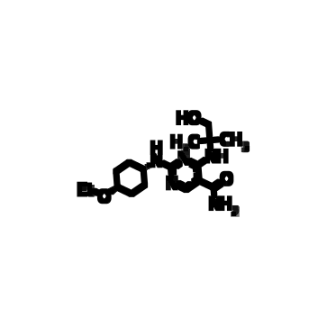 CCO[C@H]1CC[C@H](Nc2ncc(C(N)=O)c(NC(C)(C)CO)n2)CC1